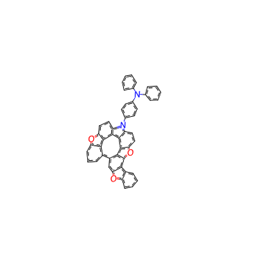 c1ccc(N(c2ccccc2)c2ccc(-n3c4ccc5oc6cccc7c8cc9oc%10ccccc%10c9c9oc%10ccc3c(c%10c89)c4c5c67)cc2)cc1